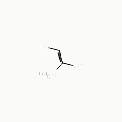 CCCC=C(CCC)C(=O)OCC.[SnH4]